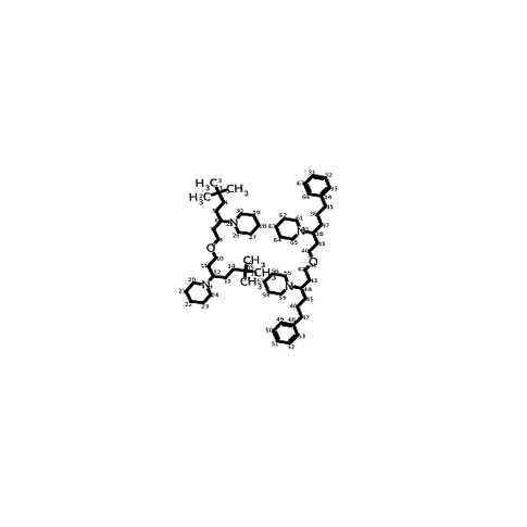 CC(C)(C)CCC(CCOCCC(CCC(C)(C)C)N1CCCCC1)N1CCCCC1.c1ccc(CCCC(CCOCCC(CCCc2ccccc2)N2CCCCC2)N2CCCCC2)cc1